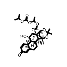 CC(C)OC(=O)OC(C)OC(=O)[C@@]12C[C@@H](OC(C)(C)O1)[C@H]1[C@@H]3CCC4=CC(=O)C=C[C@]4(C)[C@@]3(F)[C@@H](O)C[C@@]12C